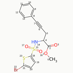 COC(=O)C(CC#Cc1ccccc1)NS(=O)(=O)c1ccc(Br)s1